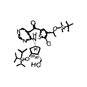 CC(O[Si](C)(C)C(C)(C)C)c1cc(C(=O)c2cncnc2N[C@@H]2C[C@H](CO)[C@@H](O[Si](C(C)C)(C(C)C)C(C)C)C2)sc1Cl